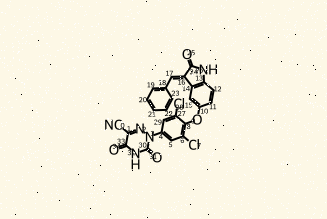 N#Cc1nn(-c2cc(Cl)c(Oc3ccc4c(c3)/C(=C\c3ccccc3)C(=O)N4)c(Cl)c2)c(=O)[nH]c1=O